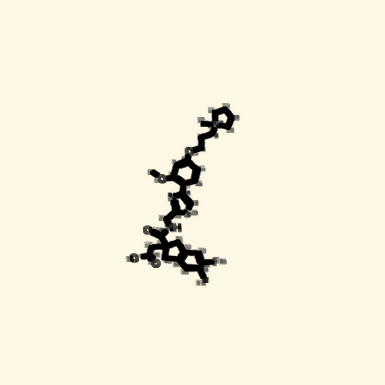 COc1cc(OCCC[N+]2(C)CCCC2)ccc1-c1csc(CNC(=O)C2(CC(=O)[O-])Cc3cc(F)c(F)cc3C2)n1